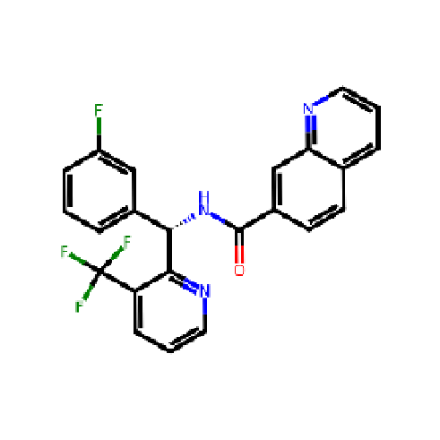 O=C(N[C@@H](c1cccc(F)c1)c1ncccc1C(F)(F)F)c1ccc2cccnc2c1